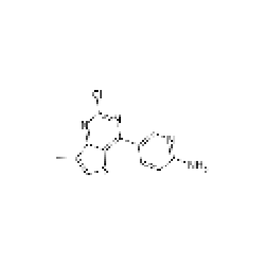 Cc1csc2c(-c3ccc(N)nc3)nc(Cl)nc12